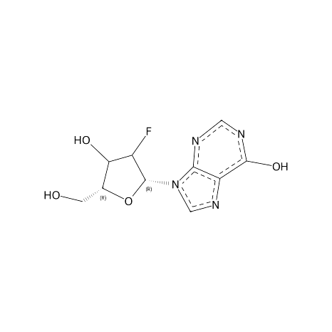 OC[C@H]1O[C@@H](n2cnc3c(O)ncnc32)C(F)C1O